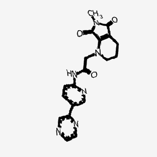 CN1C(=O)C2=C(C1=O)N(CC(=O)Nc1ccc(-c3cnccn3)cn1)CCC2